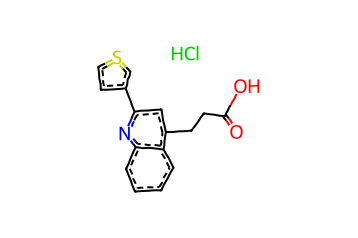 Cl.O=C(O)CCc1cc(-c2ccsc2)nc2ccccc12